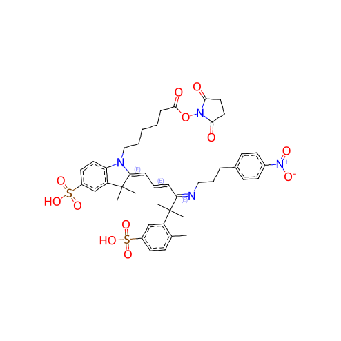 Cc1ccc(S(=O)(=O)O)cc1C(C)(C)C(/C=C/C=C1/N(CCCCCC(=O)ON2C(=O)CCC2=O)c2ccc(S(=O)(=O)O)cc2C1(C)C)=N/CCCc1ccc([N+](=O)[O-])cc1